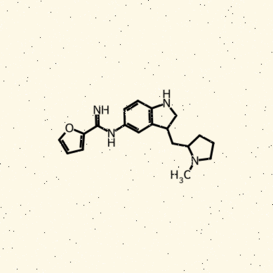 CN1CCCC1CC1CNc2ccc(NC(=N)c3ccco3)cc21